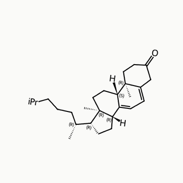 CC(C)CCC[C@@H](C)[C@H]1CC[C@H]2C3=CC=C4CC(=O)CC[C@]4(C)[C@H]3CC[C@]12C